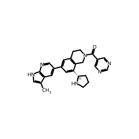 Cc1c[nH]c2ncc(-c3cc4c(c([C@@H]5CCCN5)c3)CN(C(=O)c3cncnc3)CC4)cc12